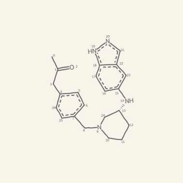 CC(=O)Cc1ccc(CN2CCC[C@@H](Nc3ccc4[nH]ncc4c3)C2)cc1